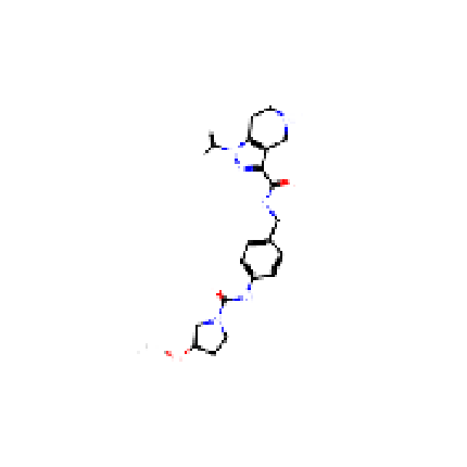 COC1CCN(C(=O)Nc2ccc(CNC(=O)c3nn(C(C)C)c4c3CNCC4)cc2)C1